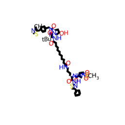 Cc1ncsc1-c1ccc(CNC(=O)[C@@H]2C[C@@H](O)CN2C(=O)[C@@H](NC(=O)CCCCCCCCCCC(=O)NCCCC[C@H](NC(=O)c2ccn(S(C)(=O)=O)c2)C(=O)Nc2nc(-c3ccccc3)cs2)C(C)(C)C)cc1